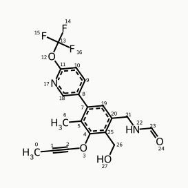 CC#COc1c(C)c(-c2ccc(OC(F)(F)F)nc2)cc(CNC=O)c1CO